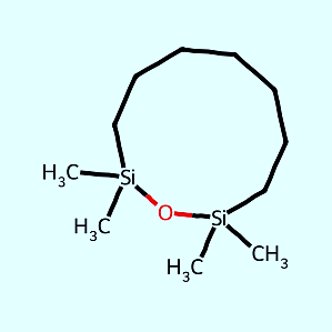 C[Si]1(C)CCCCCCC[Si](C)(C)O1